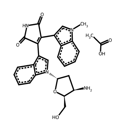 CC(=O)O.Cn1cc(C2=C(c3cn([C@@H]4C[C@@H](N)[C@@H](CO)O4)c4ccccc34)C(=O)NC2=O)c2ccccc21